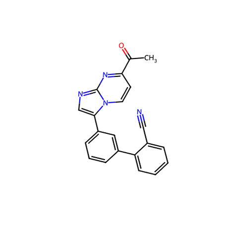 CC(=O)c1ccn2c(-c3cccc(-c4ccccc4C#N)c3)cnc2n1